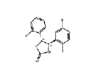 O=C1N[C@H](c2cc(Br)ncc2F)[C@@H](c2ccccc2F)O1